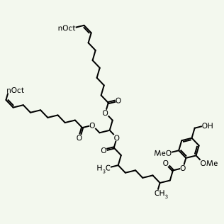 CCCCCCCC/C=C\CCCCCCCC(=O)OCC(COC(=O)CCCCCCC/C=C\CCCCCCCC)OC(=O)CC(C)CCCCC(C)CC(=O)Oc1c(OC)cc(CO)cc1OC